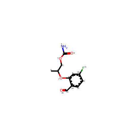 CC(COC(N)=O)Oc1cc(F)ccc1C=O